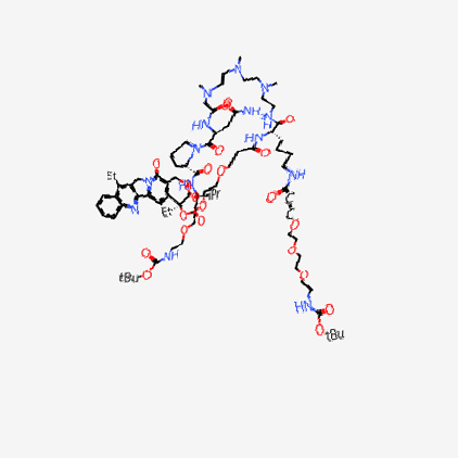 CCc1c2c(nc3ccccc13)-c1cc3c(c(=O)n1C2)COC(=O)[C@@]3(CC)OC(=O)[C@@H](NC(=O)[C@@H]1CCCN1C(=O)[C@H](CC(N)=O)NC(=O)CN(C)CCN(C)CCN(C)CCNC(=O)[C@H](CCCCNC(=O)CCOCCOCCOCCNC(=O)OC(C)(C)C)NC(=O)CCOCCOCCOCCNC(=O)OC(C)(C)C)C(C)C